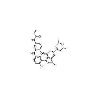 C=CC(=O)Nc1ccc(OC)c(Nc2ncc(Cl)c(-c3cn(C)c4cc(N5CC(C)OC(C)C5)ccc34)n2)c1